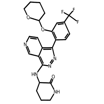 O=C1NCCCC1Nc1nnc(-c2ccc(C(F)(F)F)cc2OC2CCCCO2)c2ccncc12